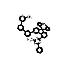 Cc1cc(-c2cccc(-c3cccc(-c4ccc5c(c4)-c4c(-c6nc(C)nc(-c7ccccc7)n6)cccc4C54c5ccccc5Sc5ccccc54)c3)c2)ccn1